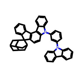 c1cc(-n2c3ccccc3c3ccccc32)cc(-n2c3ccccc3c3c4c(ccc32)C2(c3ccccc3-4)C3CC4CC(C3)CC2C4)c1